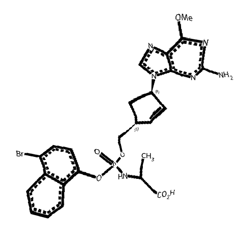 COc1nc(N)nc2c1ncn2[C@H]1C=C[C@@H](COP(=O)(NC(C)C(=O)O)Oc2ccc(Br)c3ccccc23)C1